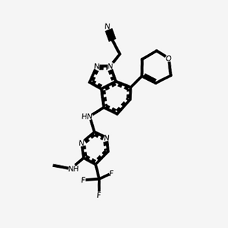 CNc1nc(Nc2ccc(C3=CCOCC3)c3c2cnn3CC#N)ncc1C(F)(F)F